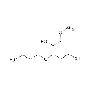 CCCCOC(CCO)C(O)COC